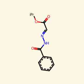 CC(C)OC(=O)C=NNC(=O)c1ccccc1